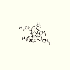 CCCC[PH](CCCC)(CCCC)C(C(=O)Nc1c(C)cc(C)cc1C)C(C)C